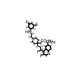 COc1ccc2ncc(F)c(C(F)CCC3(CC(=O)O)CCN(CCNc4cc(F)cc(F)c4)CC3)c2c1